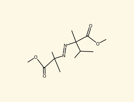 COC(=O)C(C)(C)N=NC(C)(C(=O)OC)C(C)C